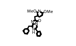 COc1ccc(Cc2nc3c(Cc4ccccc4)[nH]c(-c4ccccc4)cn-3c2=O)c(OC)n1